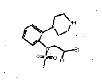 CCC(CC)CN(c1ccccc1N1CCNCC1)S(C)(=O)=O